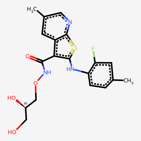 Cc1ccc(Nc2sc3ncc(C)cc3c2C(=O)NOC[C@H](O)CO)c(F)c1